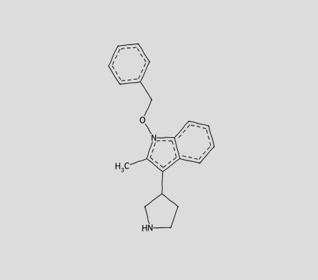 Cc1c(C2CCNC2)c2ccccc2n1OCc1ccccc1